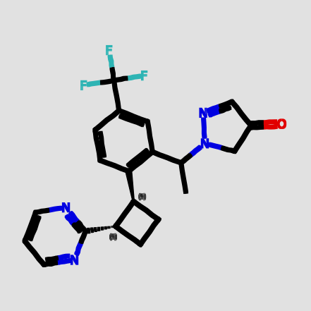 CC(c1cc(C(F)(F)F)ccc1[C@H]1CC[C@@H]1c1ncccn1)N1CC(=O)C=N1